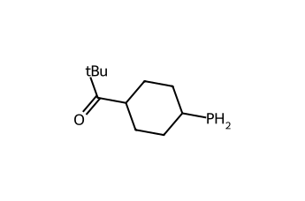 CC(C)(C)C(=O)C1CCC(P)CC1